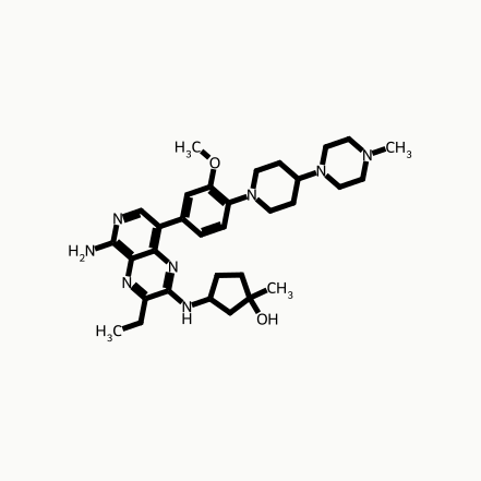 CCc1nc2c(N)ncc(-c3ccc(N4CCC(N5CCN(C)CC5)CC4)c(OC)c3)c2nc1NC1CCC(C)(O)C1